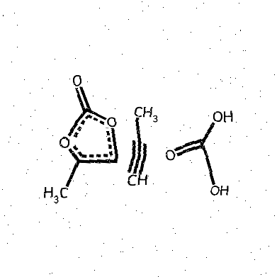 C#CC.Cc1coc(=O)o1.O=C(O)O